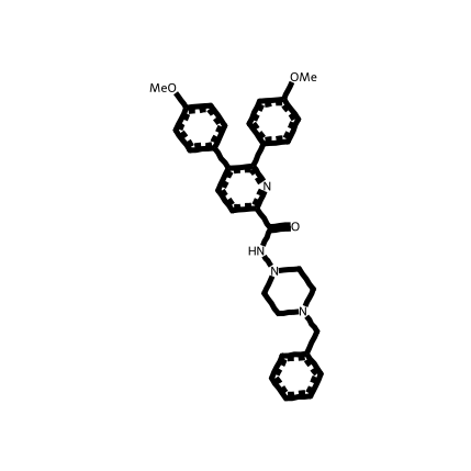 COc1ccc(-c2ccc(C(=O)NN3CCN(Cc4ccccc4)CC3)nc2-c2ccc(OC)cc2)cc1